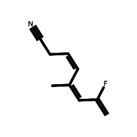 C=C(F)/C=C(C)\C=C/CC#N